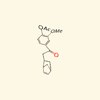 COc1cc(C(=O)CC2CC3C=CC2C3)ccc1OC(C)=O